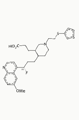 COc1ccc2nccc([C@@H](F)CCC3CCN(CCSc4ccsc4)CC3CCC(=O)O)c2c1